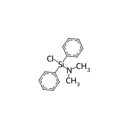 CN(C)[Si](Cl)(c1ccccc1)c1ccccc1